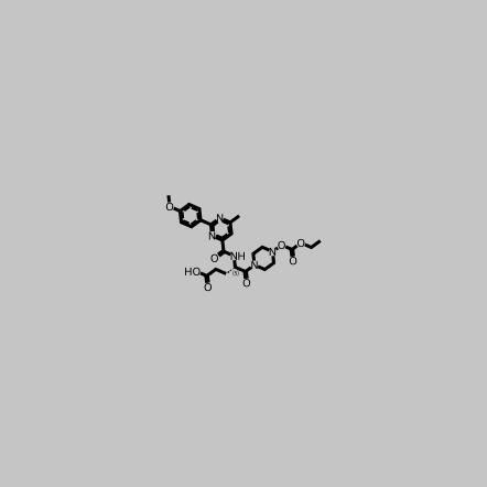 CCOC(=O)ON1CCN(C(=O)[C@H](CCC(=O)O)NC(=O)c2cc(C)nc(-c3ccc(OC)cc3)n2)CC1